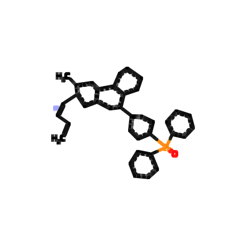 C=C/C=C\c1cc2cc(-c3ccc(P(=O)(c4ccccc4)c4ccccc4)cc3)c3ccccc3c2cc1C